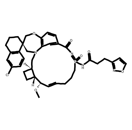 CO[C@H]1/C=C/CCCS(=O)(NC(=O)CCc2ccon2)=NC(=O)c2ccc3c(c2)N(C[C@@H]2CC[C@H]21)C[C@@]1(CCCc2cc(Cl)ccc21)CO3